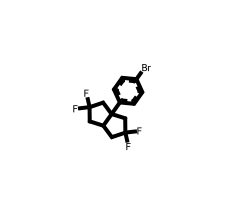 FC1(F)CC2CC(F)(F)CC2(c2ccc(Br)cc2)C1